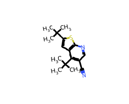 CC(C)(C)c1cc2c(C(C)(C)C)c(C#N)cnc2s1